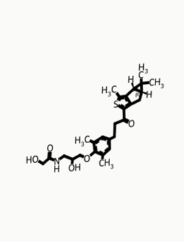 Cc1cc(CCC(=O)c2sc(C)c3c2C[C@@H]2[C@H]3C2(C)C)cc(C)c1OCC(O)CNC(=O)CO